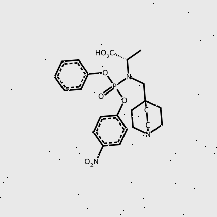 C[C@@H](C(=O)O)N(CC12CCN(CC1)CC2)P(=O)(Oc1ccccc1)Oc1ccc([N+](=O)[O-])cc1